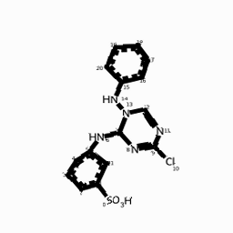 O=S(=O)(O)c1cccc(NC2N=C(Cl)N=CN2Nc2ccccc2)c1